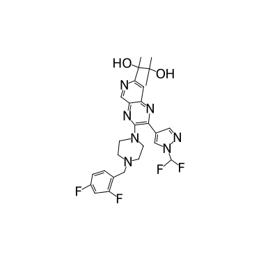 CC(C)(O)C(C)(O)c1cc2nc(-c3cnn(C(F)F)c3)c(N3CCN(Cc4ccc(F)cc4F)CC3)nc2cn1